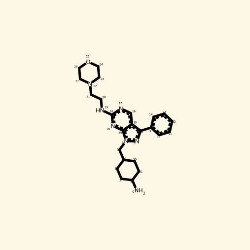 NC1CCC(Cn2nc(-c3ccccc3)c3cnc(NCCN4CCOCC4)nc32)CC1